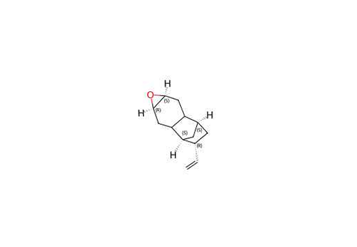 C=C[C@H]1C[C@H]2C[C@@H]1C1C[C@H]3O[C@H]3CC12